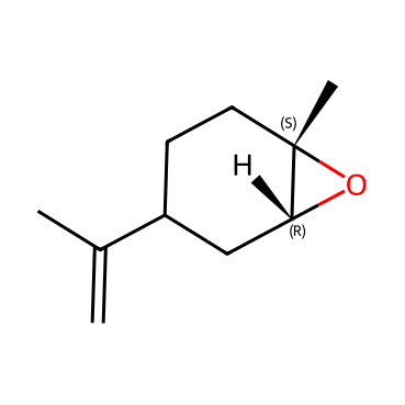 C=C(C)C1CC[C@]2(C)O[C@@H]2C1